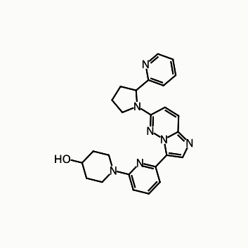 OC1CCN(c2cccc(-c3cnc4ccc(N5CCCC5c5ccccn5)nn34)n2)CC1